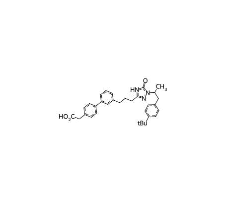 CC(Cc1ccc(C(C)(C)C)cc1)n1nc(CCCc2cccc(-c3ccc(CC(=O)O)cc3)c2)[nH]c1=O